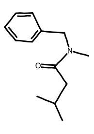 CC(C)CC(=O)N(C)Cc1ccccc1